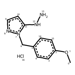 COc1ccc(Cn2nccc2NN)cc1.Cl